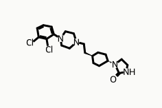 O=C1NCCN1[C@H]1CC[C@H](CCN2CCN(c3cccc(Cl)c3Cl)CC2)CC1